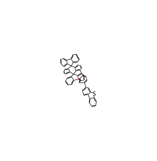 c1ccc2c(c1)-c1ccccc1C21c2ccccc2C2(c3ccccc3-c3ccccc32)c2c(-c3ccc(-c4ccc5c(c4)sc4ccccc45)cc3)cccc21